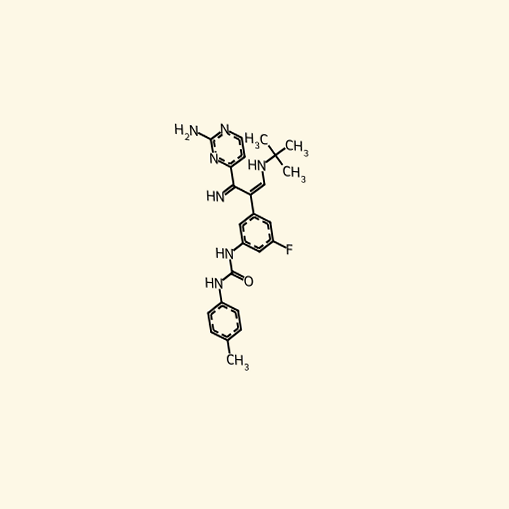 Cc1ccc(NC(=O)Nc2cc(F)cc(/C(=C/NC(C)(C)C)C(=N)c3ccnc(N)n3)c2)cc1